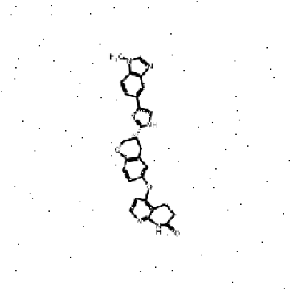 Cn1cnc2cc(-c3c[nH]c([C@H]4COc5ccc(Oc6ccnc7c6CCC(=O)N7)cc5C4)n3)ccc21